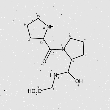 O=C(O)CNC(O)C1CCCN1C(=O)C1CCCN1